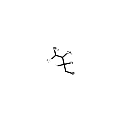 BC(C)C(C)C(CC)(CC)CC(C)C